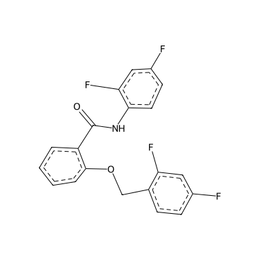 O=C(Nc1ccc(F)cc1F)c1ccccc1OCc1ccc(F)cc1F